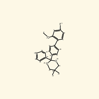 COc1cc(F)ccc1-c1ccc(C2(c3ccncc3)OCC(C)(C)CO2)cc1